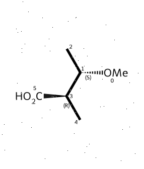 CO[C@@H](C)[C@@H](C)C(=O)O